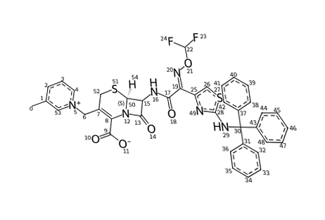 Cc1ccc[n+](CC2=C(C(=O)[O-])N3C(=O)C(NC(=O)C(=NOC(F)F)c4csc(NC(c5ccccc5)(c5ccccc5)c5ccccc5)n4)[C@@H]3SC2)c1